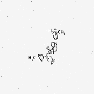 CCc1ncc(C(CNC(=O)c2cccc3nc(N4CCN(C(C)C)CC4)ccc23)N2CCC(F)(F)CC2)cn1